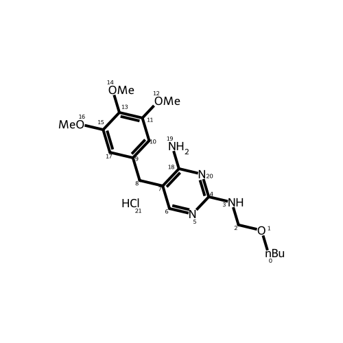 CCCCOCNc1ncc(Cc2cc(OC)c(OC)c(OC)c2)c(N)n1.Cl